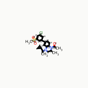 C=C(C1CC1)N1CC(C)N(C(C)=O)c2ccc(-c3cc(Cl)cc(S(C)(=O)=O)c3)cc21